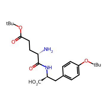 CC(C)(C)OC(=O)CC[C@H](N)C(=O)N[C@@H](Cc1ccc(OC(C)(C)C)cc1)C(=O)O